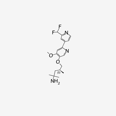 COc1cc(-c2ccnc(C(F)F)c2)ncc1OC[C@@H](C)CC(C)(C)N